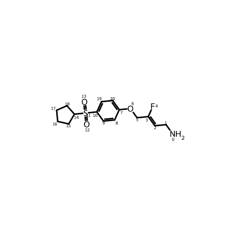 NCC=C(F)COc1ccc(S(=O)(=O)C2CCCC2)cc1